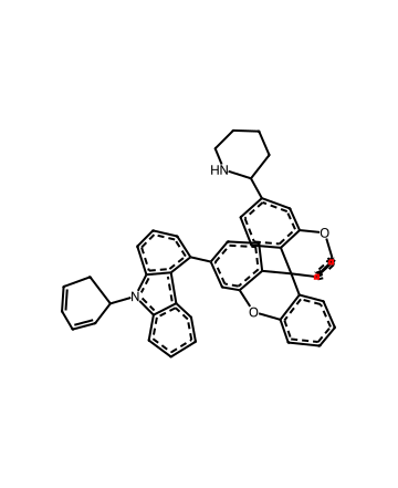 C1=CCC(n2c3ccccc3c3c(-c4ccc5c(c4)Oc4ccccc4C54c5ccccc5Oc5cc(C6CCCCN6)ccc54)cccc32)C=C1